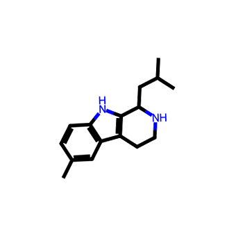 Cc1ccc2[nH]c3c(c2c1)CCNC3CC(C)C